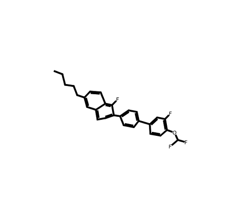 CCCCCc1ccc2c(F)c(-c3ccc(-c4ccc(OC(F)F)c(F)c4)cc3)ccc2c1